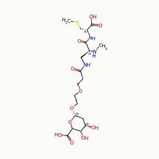 CN[C@@H](CNC(=O)CCOCCO[C@@H]1C[C@@H](O)C(O)C(C(=O)O)O1)C(=O)N[C@H](CSC)C(=O)O